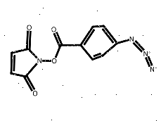 [N-]=[N+]=Nc1ccc(C(=O)ON2C(=O)C=CC2=O)cc1